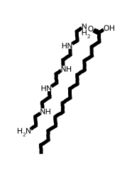 CCCCCCCCCCCCCCCCCC(=O)O.NCCNCCNCCNCCNCCN